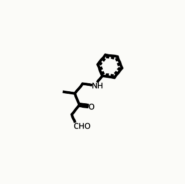 CC(CNc1ccccc1)C(=O)CC=O